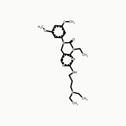 CCN(CC)CCCNc1ncc2c(n1)N(CC)C(=O)N(c1cc(OC)cc(OC)c1)C2